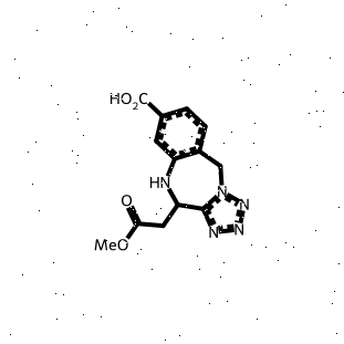 COC(=O)CC1Nc2cc(C(=O)O)ccc2Cn2nnnc21